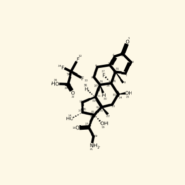 C[C@]12C=CC(=O)C=C1CC[C@H]1[C@@H]3C[C@@H](O)[C@](O)(C(=O)CN)[C@@]3(C)C[C@H](O)[C@@]12F.O=C(O)C(F)(F)F